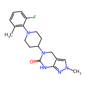 Cc1cccc(F)c1N1CCC(N2Cc3cn(C)nc3NC2=O)CC1